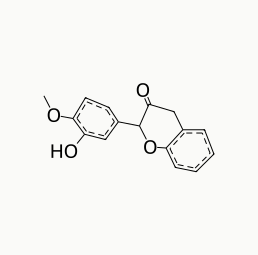 COc1ccc(C2Oc3ccccc3CC2=O)cc1O